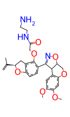 C=C(C)[C@H]1Cc2c(ccc(C3=NOC4COc5cc(OC)c(OC)cc5C34)c2OCC(=O)NCCN)O1